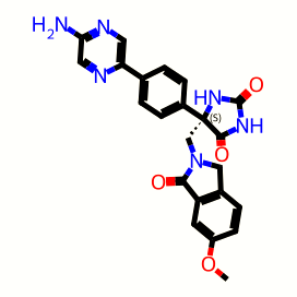 COc1ccc2c(c1)C(=O)N(C[C@]1(c3ccc(-c4cnc(N)cn4)cc3)NC(=O)NC1=O)C2